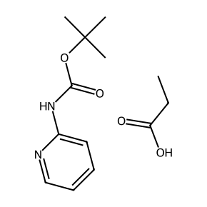 CC(C)(C)OC(=O)Nc1ccccn1.CCC(=O)O